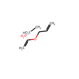 C=CCOC=C.CC(=O)O.O